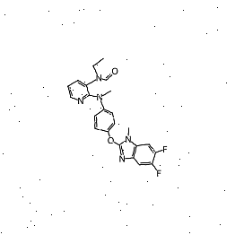 CCN(C=O)c1cccnc1N(C)c1ccc(Oc2nc3cc(F)c(F)cc3n2C)cc1